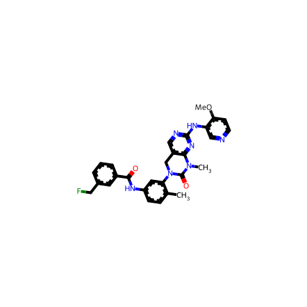 COc1ccncc1Nc1ncc2c(n1)N(C)C(=O)N(c1cc(NC(=O)c3cccc(CF)c3)ccc1C)C2